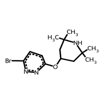 CC1(C)CC(Oc2ccc(Br)nn2)CC(C)(C)N1